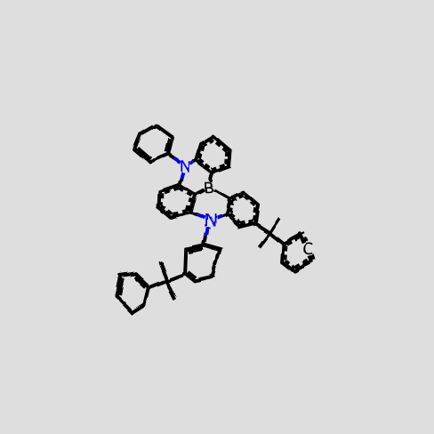 CC(C)(C1=CCCC(N2c3cc(C(C)(C)c4ccccc4)ccc3B3c4ccccc4N(C4=CCCC=C4)c4cccc2c43)=C1)C1=CC=CCC1